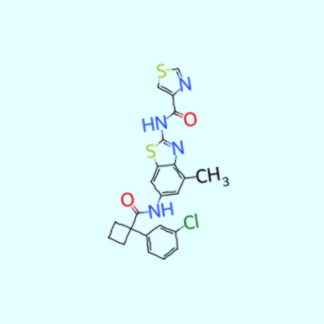 Cc1cc(NC(=O)C2(c3cccc(Cl)c3)CCC2)cc2sc(NC(=O)c3cscn3)nc12